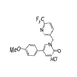 COc1ccc(-c2ccc(=O)n(Cc3ccc(C(F)(F)F)nc3)c2)cc1.Cl